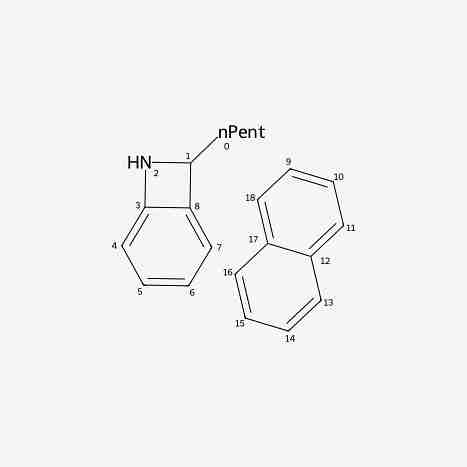 CCCCCC1Nc2ccccc21.c1ccc2ccccc2c1